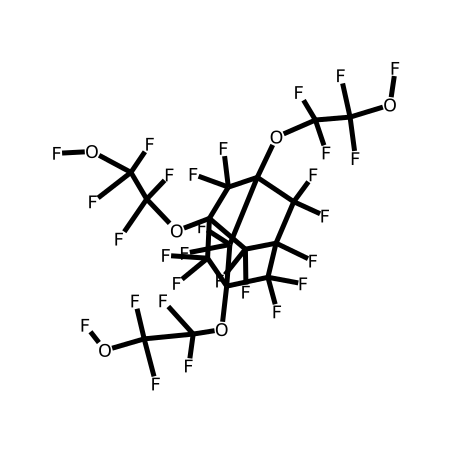 FOC(F)(F)C(F)(F)OC12C(F)(F)C3(F)C(F)(F)C(OC(F)(F)C(F)(F)OF)(C1(F)F)C(F)(F)C(OC(F)(F)C(F)(F)OF)(C3(F)F)C2(F)F